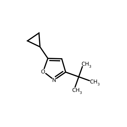 CC(C)(C)c1cc(C2CC2)on1